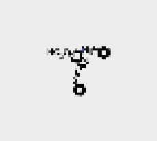 O=C(O)N1C/C(=N/OCc2ccccc2)c2ncn(CCSc3ccccc3)c2C1